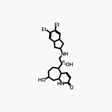 CCC1=CC2CC(NC[C@H](O)C3CCC(O)CC4NC(=O)C=CC43)CC2C=C1CC